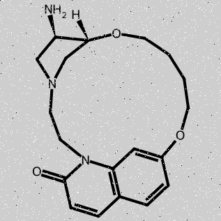 N[C@@H]1CN2CCn3c(=O)ccc4ccc(cc43)OCCCCO[C@@H]1C2